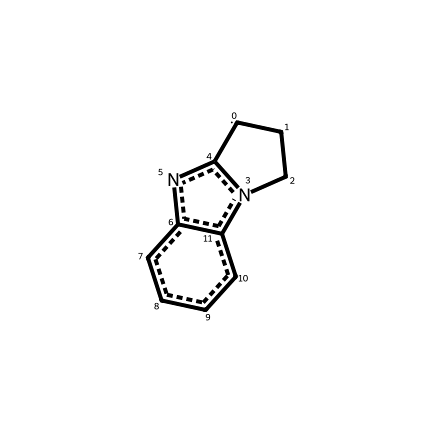 [CH]1CCn2c1nc1ccccc12